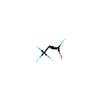 FC(Br)=CC(F)(F)F